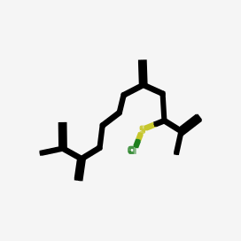 C=C(CCCCC(=C)C(=C)C)CC(SCl)C(=C)C